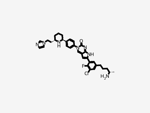 C[C@H](N)CCCc1cc(Cl)c(F)c(-c2cc3cn(-c4ccc([C@@H]5CCC[C@@H](CCn6ccnc6)N5)cc4)c(=O)nc3[nH]2)c1